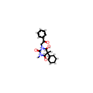 CN1C(=O)N(CC(=O)c2ccccc2)C(=O)C(C)(C2=CCCCC2)C1=O